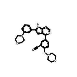 N#Cc1cc(-c2ncnc3[nH]c(-c4cccc(N5CCOCC5)c4)cc23)ccc1ON1CCOCC1